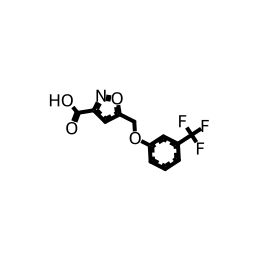 O=C(O)c1cc(COc2cccc(C(F)(F)F)c2)on1